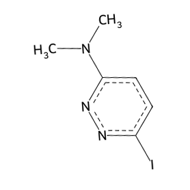 CN(C)c1ccc(I)nn1